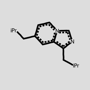 CC(C)Cc1ccn2cnc(CC(C)C)c2c1